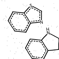 c1ccc2c(c1)CCN2.c1ccc2scnc2c1